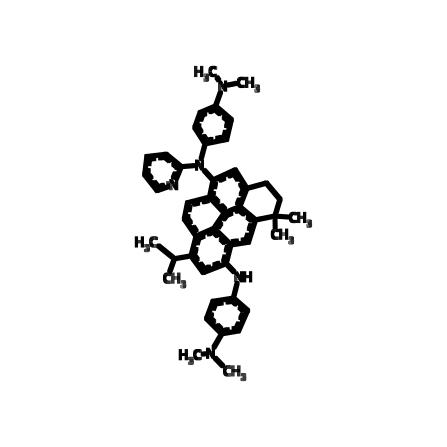 CC(C)c1cc(Nc2ccc(N(C)C)cc2)c2cc3c4c(cc(N(c5ccc(N(C)C)cc5)c5ccccn5)c5ccc1c2c54)CCC3(C)C